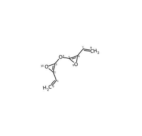 C=CC1=C(OC2=C(C=C)O2)O1